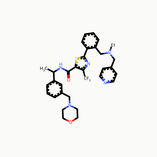 CCN(Cc1ccncc1)Cc1ccccc1-c1nc(C(F)(F)F)c(C(=O)NC(C)c2cccc(CN3CCOCC3)c2)s1